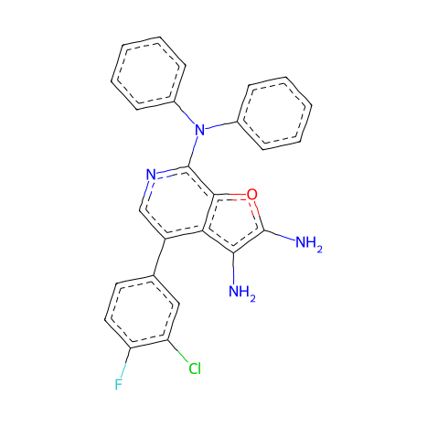 Nc1oc2c(N(c3ccccc3)c3ccccc3)ncc(-c3ccc(F)c(Cl)c3)c2c1N